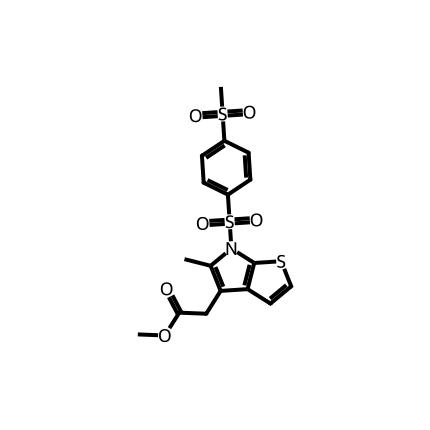 COC(=O)Cc1c(C)n(S(=O)(=O)c2ccc(S(C)(=O)=O)cc2)c2sccc12